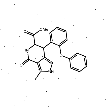 COC(=O)C1NC(=O)c2c(c[nH]c2C)C1c1ccccc1Oc1ccccc1